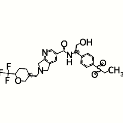 CCS(=O)(=O)c1ccc([C@H](CO)NC(=O)c2cnc3c(c2)CN(C[C@@H]2CCC(C(F)(F)F)OC2)C3)cc1